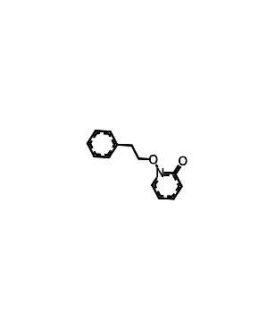 O=c1ccccn1OCCc1ccccc1